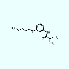 CCCCCSc1cccc(NC(=O)C(C)C)c1